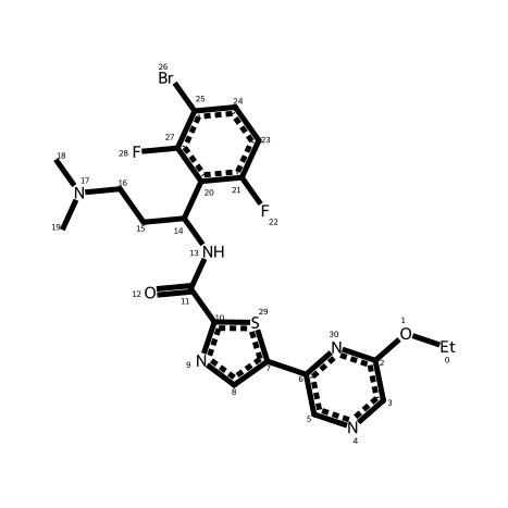 CCOc1cncc(-c2cnc(C(=O)NC(CCN(C)C)c3c(F)ccc(Br)c3F)s2)n1